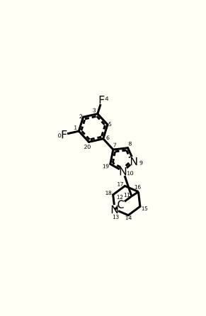 Fc1cc(F)cc(-c2cnn(C3CN4CCC3CC4)c2)c1